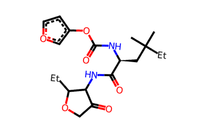 CCC1OCC(=O)C1NC(=O)[C@H](CC(C)(C)CC)NC(=O)Oc1ccoc1